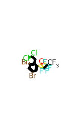 [O-][S+](c1cc(Br)[c]c(Br)c1CC(Cl)Cl)C(F)(F)C(F)(F)C(F)(F)F